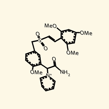 COc1cc(OC)c(C=CS(=O)(=O)Cc2ccc(OC)c(C(C(N)=O)[n+]3ccccc3)c2)c(OC)c1